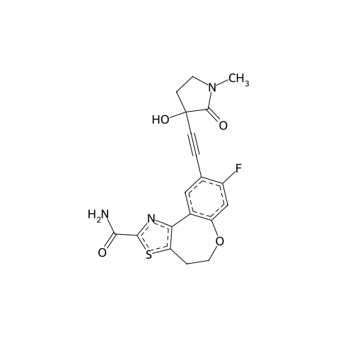 CN1CCC(O)(C#Cc2cc3c(cc2F)OCCc2sc(C(N)=O)nc2-3)C1=O